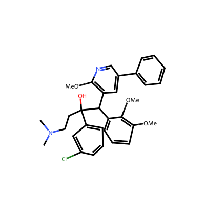 COc1cccc(C(c2cc(-c3ccccc3)cnc2OC)C(O)(CCN(C)C)c2cccc(Cl)c2)c1OC